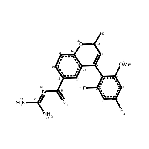 COc1cc(F)cc(F)c1C1=CC(C)Oc2ccc(C(=O)N=C(N)N)cc21